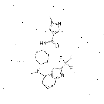 Cn1cc(C(=O)N[C@H]2CC[C@@H](N(C)c3cccc4nc(C(F)(F)F)cn34)CC2)cn1